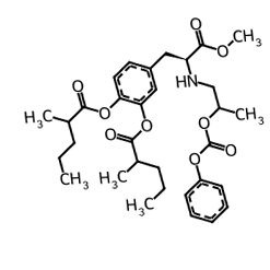 CCCC(C)C(=O)Oc1ccc(C[C@H](NCC(C)OC(=O)Oc2ccccc2)C(=O)OC)cc1OC(=O)C(C)CCC